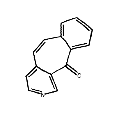 O=c1c2ccccc2ccc2ccncc12